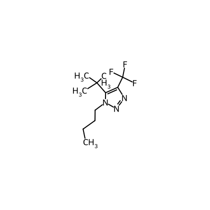 CCCCn1nnc(C(F)(F)F)c1C(C)(C)C